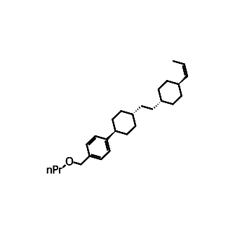 C/C=C\[C@H]1CC[C@H](CC[C@H]2CC[C@H](c3ccc(COCCC)cc3)CC2)CC1